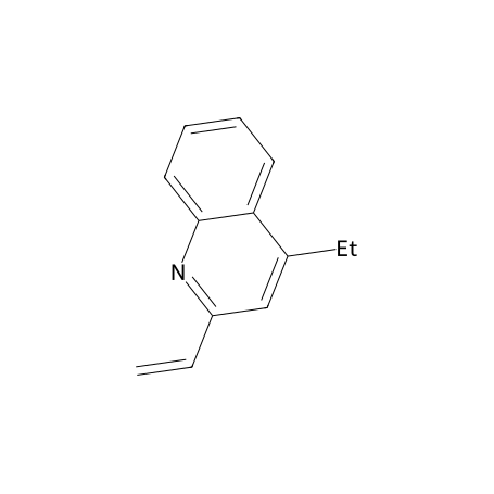 C=Cc1cc(CC)c2ccccc2n1